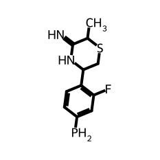 CC1SCC(c2ccc(P)cc2F)NC1=N